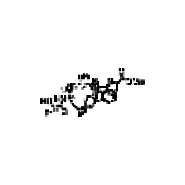 CCC[C@@H]1NC(=O)[C@@H](NC(=O)[C@@H](O)C(C)C)Cc2ccc3c(c2)C2(c4ccccc4NC2O3)c2oc1nc2-c1nc(C(=O)OC)co1